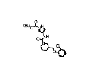 CC(C)(C)OC(=O)n1cc(NC(=O)N2CCCC(COc3ccccc3Cl)C2)cn1